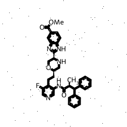 COC(=O)c1ccc2[nH]c([C@@H]3CO[C@H](CCc4c(F)cncc4NC(=O)[C@@H](C)C(c4ccccc4)c4ccccc4)CN3)nc2c1